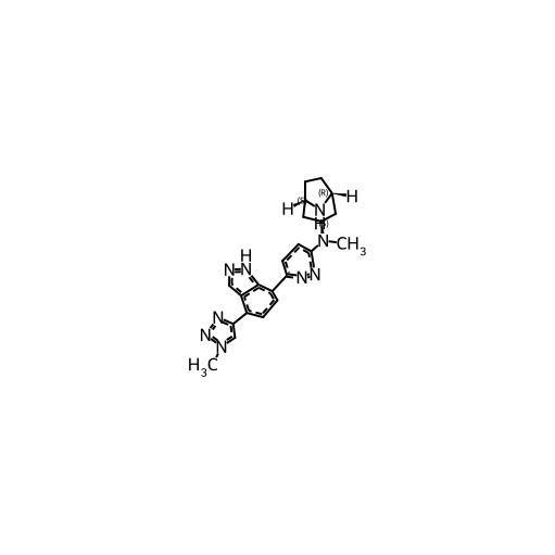 CN(c1ccc(-c2ccc(-c3cn(C)nn3)c3cn[nH]c23)nn1)[C@@H]1C[C@H]2CC[C@@H](C1)N2